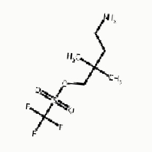 CC(C)(CCN)COS(=O)(=O)C(F)(F)F